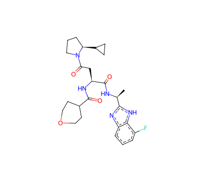 C[C@H](NC(=O)[C@H](CC(=O)N1CCC[C@H]1C1CC1)NC(=O)C1CCOCC1)c1nc2cccc(F)c2[nH]1